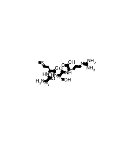 CSCC[C@H](NC(=O)[C@H](C)N)C(=O)N[C@@H](CO)C(=O)N[C@@H](CCCN=C(N)N)C(=O)O